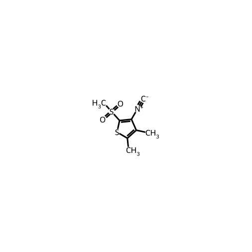 [C-]#[N+]c1c(S(C)(=O)=O)sc(C)c1C